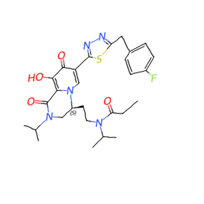 CCC(=O)N(CC[C@H]1CN(C(C)C)C(=O)c2c(O)c(=O)c(-c3nnc(Cc4ccc(F)cc4)s3)cn21)C(C)C